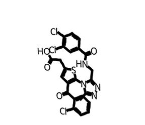 Cc1nnc(CNC(=O)c2ccc(Cl)c(Cl)c2)n1-c1sc(CC(=O)O)cc1C(=O)c1ccccc1Cl